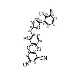 N#Cc1cc(Cl)cc(Oc2c(Cl)ccc(Cc3nnc(-c4cccc(F)c4Cl)o3)c2F)c1